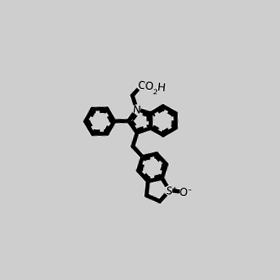 O=C(O)Cn1c(-c2ccccc2)c(Cc2ccc3c(c2)CC[S+]3[O-])c2ccccc21